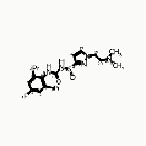 CC(C)c1cc(F)cc(C(C)C)c1NC(=O)N[S+]([O-])c1ccn(CCN(C)C)n1